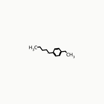 CCCC[CH]c1ccc(CC)cc1